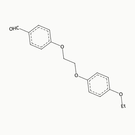 CCOc1ccc(OCCOc2ccc(C=O)cc2)cc1